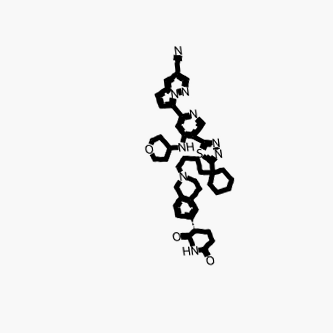 N#Cc1cnn2c(-c3cc(NC4CCOCC4)c(-c4nnc(C5(CCCCN6CCc7cc([C@@H]8CCC(=O)NC8=O)ccc7C6)CCCCC5)s4)cn3)ccc2c1